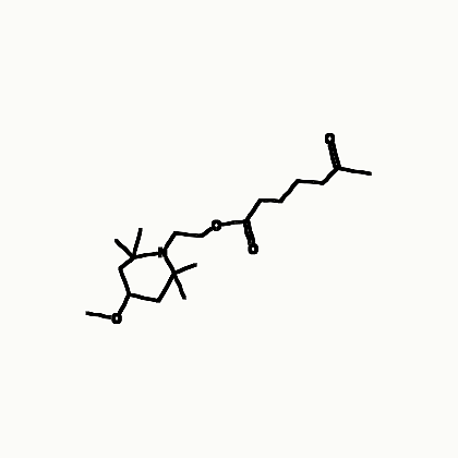 COC1CC(C)(C)N(CCOC(=O)CCCCC(C)=O)C(C)(C)C1